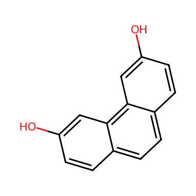 Oc1ccc2ccc3ccc(O)cc3c2c1